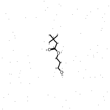 CC(C)(C)CC(=O)OCCC[O]